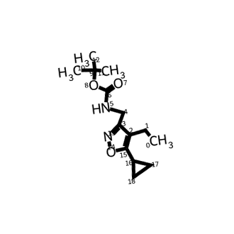 CCc1c(CNC(=O)OC(C)(C)C)noc1C1CC1